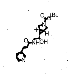 CC(C)(C)OC(=O)N1C[C@@H]2[C@H](C1)[C@H]2C(O)CNC(=O)/C=C/c1cccnc1